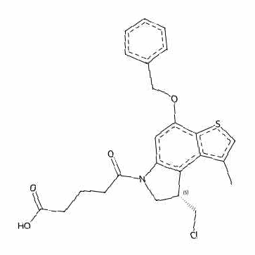 Cc1csc2c(OCc3ccccc3)cc3c(c12)[C@H](CCl)CN3C(=O)CCCC(=O)O